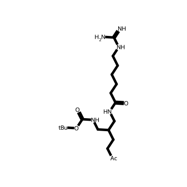 CC(=O)CCC(CNC(=O)CCCCCNC(=N)N)CNC(=O)OC(C)(C)C